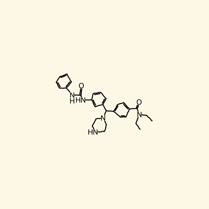 CCN(CC)C(=O)c1ccc(C(c2cccc(NC(=O)Nc3ccccc3)c2)N2CCNCC2)cc1